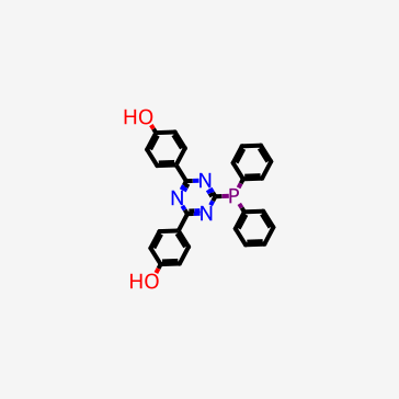 Oc1ccc(-c2nc(-c3ccc(O)cc3)nc(P(c3ccccc3)c3ccccc3)n2)cc1